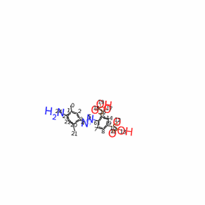 Cc1cc(/N=N/c2ccc(S(=O)(=O)O)cc2S(=O)(=O)O)c(C)cc1N